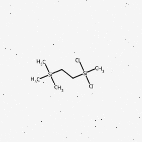 C[Si](C)(C)CC[Si](C)(Cl)Cl